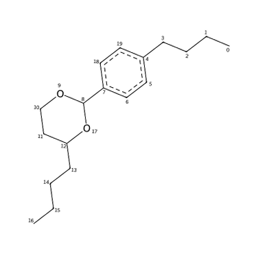 CCCCc1ccc(C2OCCC(CCCC)O2)cc1